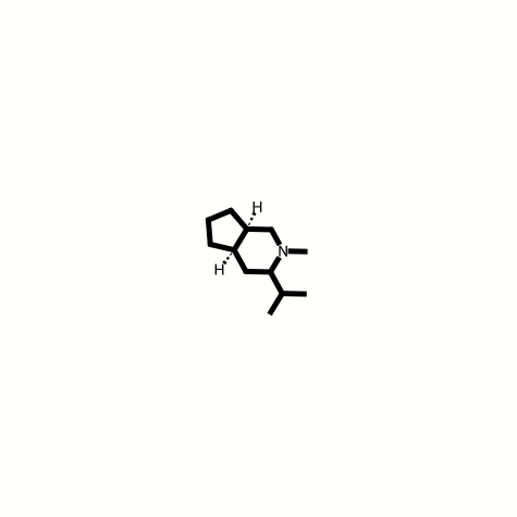 CC(C)C1C[C@H]2CCC[C@H]2CN1C